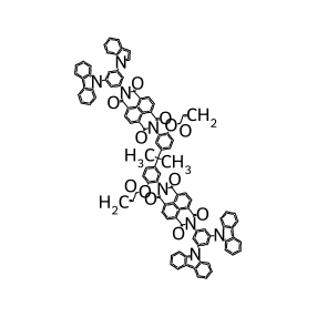 C=CC(=O)Oc1ccc(C(C)(C)c2ccc(OC(=O)C=C)c(N3C(=O)c4ccc5c6c(ccc(c46)C3=O)C(=O)N(c3cc(-n4c6ccccc6c6ccccc64)cc(-n4c6ccccc6c6ccccc64)c3)C5=O)c2)cc1N1C(=O)c2ccc3c4c(ccc(c24)C1=O)C(=O)N(c1cc(-n2ccc4ccccc42)cc(-n2c4ccccc4c4ccccc42)c1)C3=O